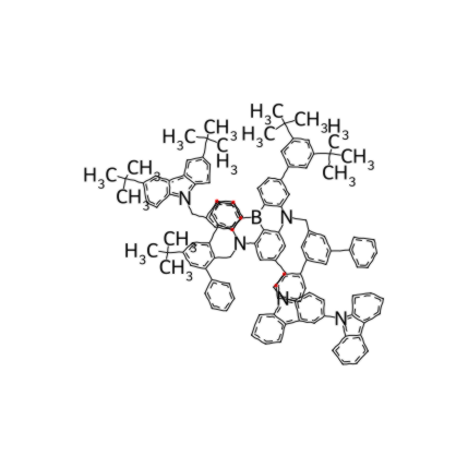 CC(C)(C)c1cc(-c2ccc3c(c2)N(Cc2cc(-c4ccccc4)cc(-c4ccccc4)c2)c2cc(CCn4c5ccccc5c5cc(-n6c7ccccc7c7ccccc76)ccc54)cc4c2B3c2ccc(Cn3c5ccc(C(C)(C)C)cc5c5cc(C(C)(C)C)ccc53)cc2N4Cc2c(-c3ccccc3)cc(C(C)(C)C)cc2-c2ccccc2)cc(C(C)(C)C)c1